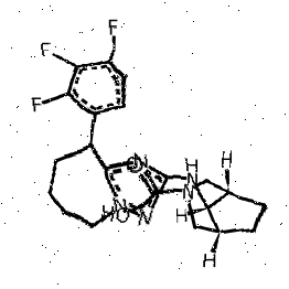 O=C(O)N1C[C@H]2CC[C@@H](C1)[C@H]2Nc1nc2n(n1)CCCCC2c1ccc(F)c(F)c1F